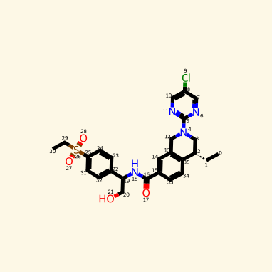 CC[C@H]1CN(c2ncc(Cl)cn2)Cc2cc(C(=O)NC(CO)c3ccc(S(=O)(=O)CC)cc3)ccc21